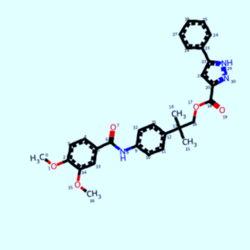 COc1ccc(C(=O)Nc2ccc(C(C)(C)COC(=O)c3cc(-c4ccccc4)[nH]n3)cc2)cc1OC